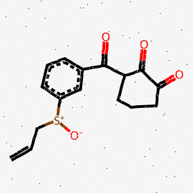 C=CC[S+]([O-])c1cccc(C(=O)C2CCCC(=O)C2=O)c1